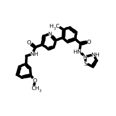 COc1cccc(CNC(=O)c2ccc(-c3cc(C(=O)NN4NC=CS4)ccc3C)nc2)c1